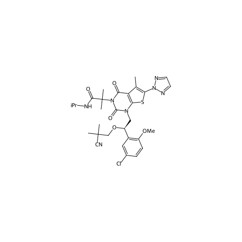 COc1ccc(Cl)cc1[C@H](Cn1c(=O)n(C(C)(C)C(=O)NC(C)C)c(=O)c2c(C)c(-n3nccn3)sc21)OCC(C)(C)C#N